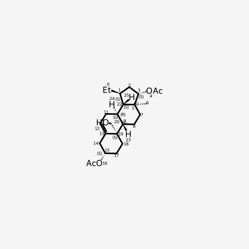 CC[C@H]1C[C@H](OC(C)=O)[C@@]2(C)CC[C@H]3[C@@H](CC=C4C[C@@H](OC(C)=O)CC[C@@]43CO)[C@H]12